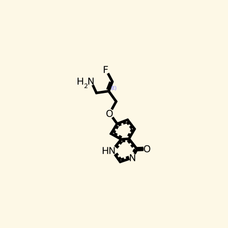 NC/C(=C\F)COc1ccc2c(=O)nc[nH]c2c1